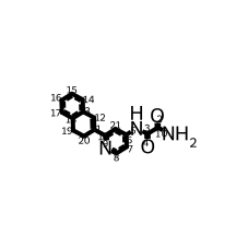 NC(=O)C(=O)Nc1ccnc(C2=Cc3ccccc3CC2)c1